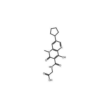 Cn1c(=O)c(C(=O)NCC(=O)O)c(O)c2ncc(C3CCCC3)cc21